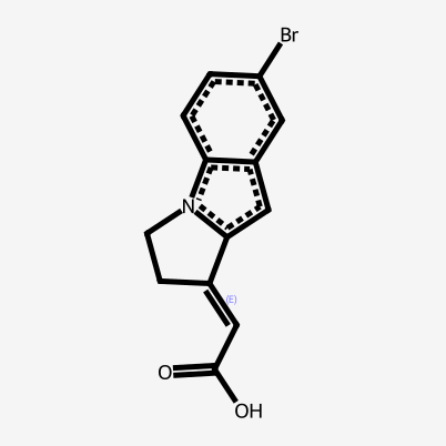 O=C(O)/C=C1\CCn2c1cc1cc(Br)ccc12